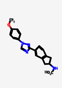 O=C(O)NC1Cc2ccc(-c3ncn(-c4ccc(OC(F)(F)F)cc4)n3)cc2C1